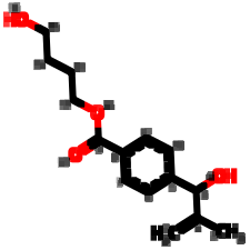 C=C(C)C(O)c1ccc(C(=O)OCCCCO)cc1